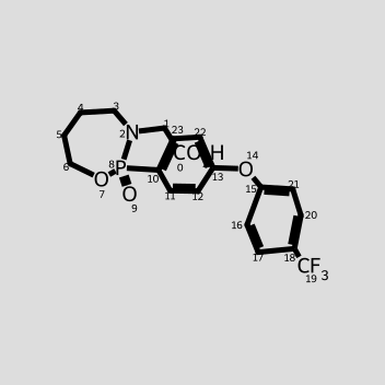 O=C(O)CN1CCCCOP1(=O)c1ccc(Oc2ccc(C(F)(F)F)cc2)cc1